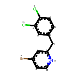 Clc1ccc(Cc2cc(Br)ccn2)cc1Cl